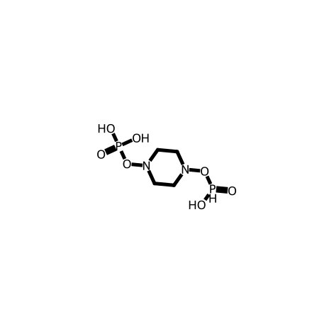 O=[PH](O)ON1CCN(OP(=O)(O)O)CC1